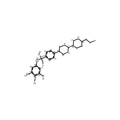 CCCC1CCC(C2CCC(c3ccc(C(F)(F)Oc4cc(F)c(F)c(F)c4)cc3)CC2)CC1